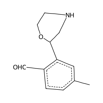 Cc1ccc(C=O)c(C2CNCCO2)c1